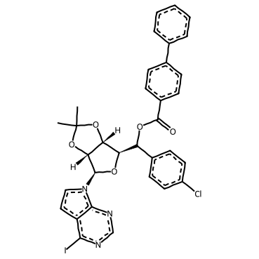 CC1(C)O[C@@H]2[C@H](O1)[C@@H](C(OC(=O)c1ccc(-c3ccccc3)cc1)c1ccc(Cl)cc1)O[C@H]2n1ccc2c(I)ncnc21